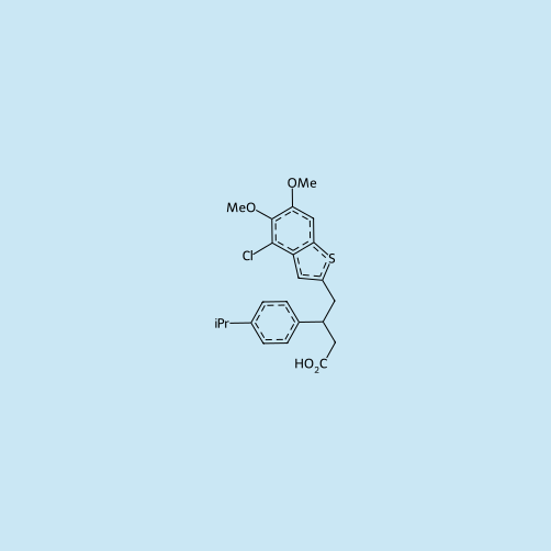 COc1cc2sc(CC(CC(=O)O)c3ccc(C(C)C)cc3)cc2c(Cl)c1OC